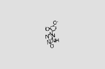 COc1ccc(-n2cnc3nc(=O)[nH]c-3n2)c(OC)c1